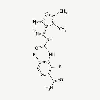 Cc1oc2ncnc(NC(=O)Nc3c(F)ccc(C(N)=O)c3F)c2c1C